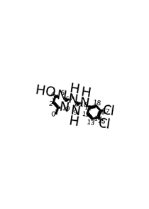 Cc1cc(O)nc(NC(=N)Nc2ccc(Cl)c(Cl)c2)n1